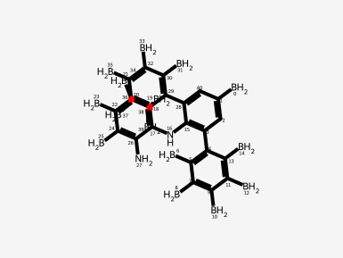 Bc1cc(-c2c(B)c(B)c(B)c(B)c2B)c(Nc2c(B)c(B)c(B)c(B)c2N)c(-c2c(B)c(B)c(B)c(B)c2B)c1